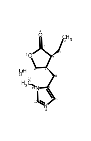 CC[C@@H]1C(=O)OC[C@@H]1Cc1cncn1C.[LiH]